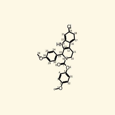 COc1ccc(OC(=O)N2CCc3c([nH]c4c3=CCC(Cl)C=4)C2c2ccc(OC)cc2)cc1